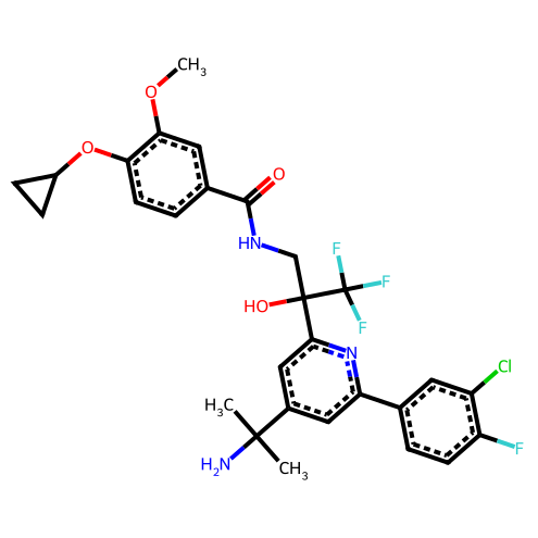 COc1cc(C(=O)NCC(O)(c2cc(C(C)(C)N)cc(-c3ccc(F)c(Cl)c3)n2)C(F)(F)F)ccc1OC1CC1